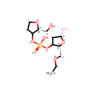 B[C@H]1CC(OP(=O)(O)OC2CCO[C@@H]2CO)[C@@H](COCC)O1